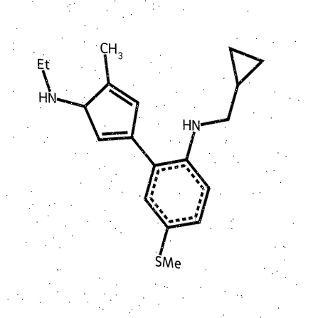 CCNC1C=C(c2cc(SC)ccc2NCC2CC2)C=C1C